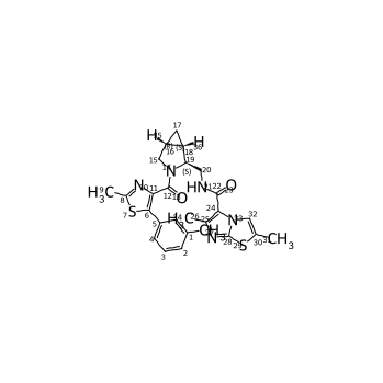 Cc1cccc(-c2sc(C)nc2C(=O)N2C[C@@H]3C[C@@H]3[C@H]2CNC(=O)c2c(C)nc3sc(C)cn23)c1